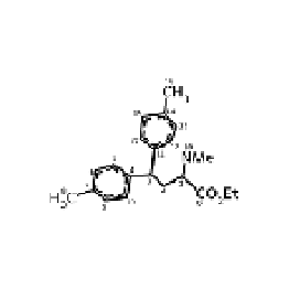 CCOC(=O)C(CC(c1ccc(C)cc1)c1ccc(C)cc1)NC